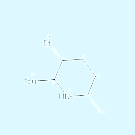 CC[C@@H]1CC[C@H](C)NC1C(C)(C)C